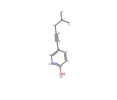 CC(C)CC#Cc1ccc(O)nc1